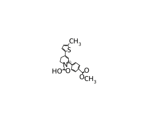 COC(=O)c1ccc([C@@H]2C=C(c3ccc(C)s3)CCN2C(=O)O)cc1